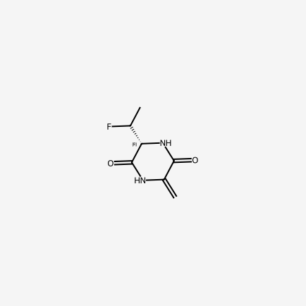 C=C1NC(=O)[C@H](C(C)F)NC1=O